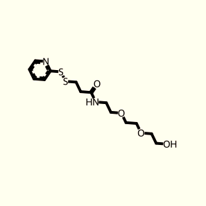 O=C(CCSSc1ccccn1)NCCOCCOCCO